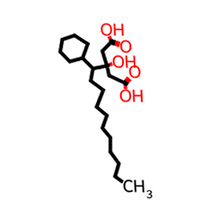 CCCCCCCCCCC(C1CCCCC1)C(O)(CC(=O)O)CC(=O)O